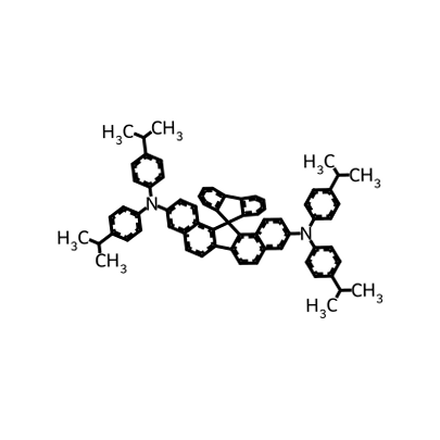 CC(C)c1ccc(N(c2ccc(C(C)C)cc2)c2ccc3c4c(ccc3c2)-c2ccc3cc(N(c5ccc(C(C)C)cc5)c5ccc(C(C)C)cc5)ccc3c2C42c3ccccc3-c3ccccc32)cc1